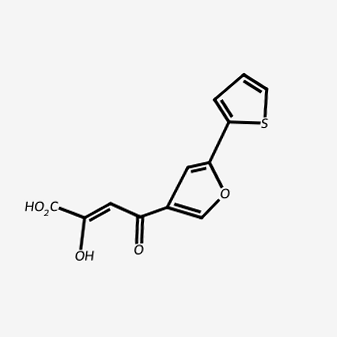 O=C(O)C(O)=CC(=O)c1coc(-c2cccs2)c1